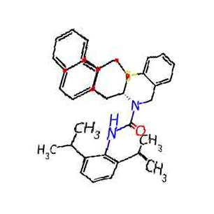 CC(C)c1cccc(C(C)C)c1NC(=O)N(Cc1ccccc1SCc1ccccc1)[C@H]1CC[C@H](c2ccccc2)CC1